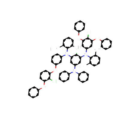 Cc1cccc(C)c1N(c1cccc(Oc2cccc(Oc3ccccc3)c2Cl)c1)c1cc(N(c2ccccc2)c2ccccc2)cc(N(c2cc(Oc3ccccc3)c(Cl)c(Oc3ccccc3)c2)c2c(C)cccc2C)c1Cl